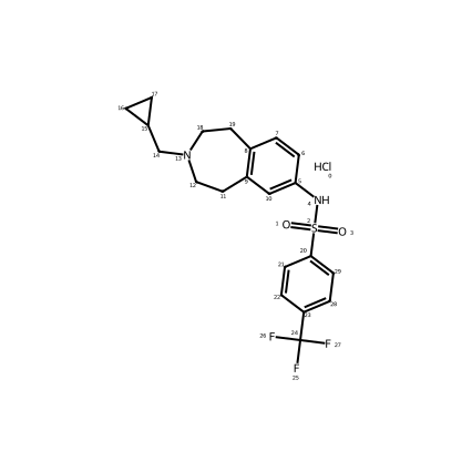 Cl.O=S(=O)(Nc1ccc2c(c1)CCN(CC1CC1)CC2)c1ccc(C(F)(F)F)cc1